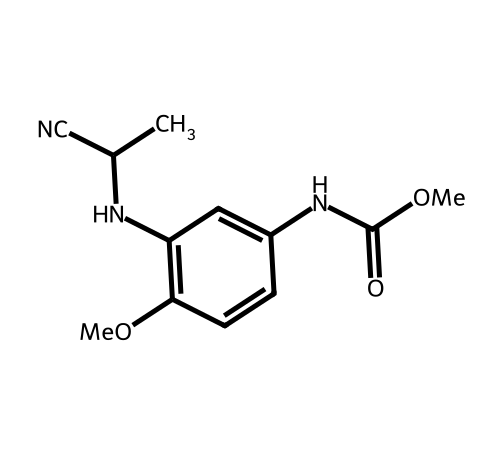 COC(=O)Nc1ccc(OC)c(NC(C)C#N)c1